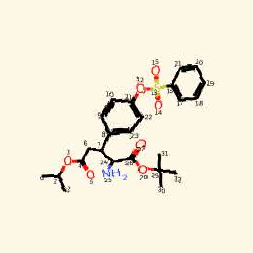 CC(C)OC(=O)CC(c1ccc(OS(=O)(=O)c2ccccc2)cc1)C(N)C(=O)OC(C)(C)C